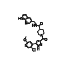 COc1cc(-c2cc(C(=O)N3CCC(C(=O)NCc4cnc5[nH]ccc5c4)CC3)n[nH]2)c(Cl)cn1